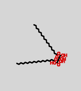 CCCCCCCCCCCCCCCCCCOC(O)(C(=O)O)C(O)(OCCCCCCCCCCCCCCCCCC)C(=O)O